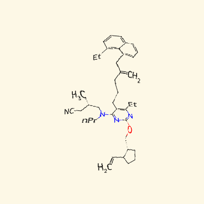 C=CC1CCC[C@H]1COc1nc(CC)c(CCCC(=C)Cc2cccc3cccc(CC)c23)c(N(CCC)C[C@@H](C)CC#N)n1